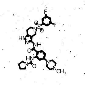 CN1CCN(c2ccc(C(=O)Nc3n[nH]c4c3CN(S(=O)(=O)c3cc(F)cc(F)c3)CC4)c(NC(=O)N3CCCC3)c2)CC1